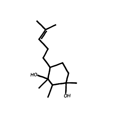 CC(C)=CCCC1CCC(C)(O)C(C)C1(C)O